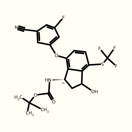 CC(C)(C)OC(=O)N[C@H]1CC(O)c2c(SC(F)(F)F)ccc(Oc3cc(F)cc(C#N)c3)c21